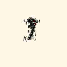 CC(=O)N(O)C(=N)c1ccc(Oc2cc(Oc3c(F)cc(CNC(=O)OC(C)(C)C)cc3F)cc(C(=O)NC3CCC(NC(=O)OC(C)(C)C)CC3)c2)cc1